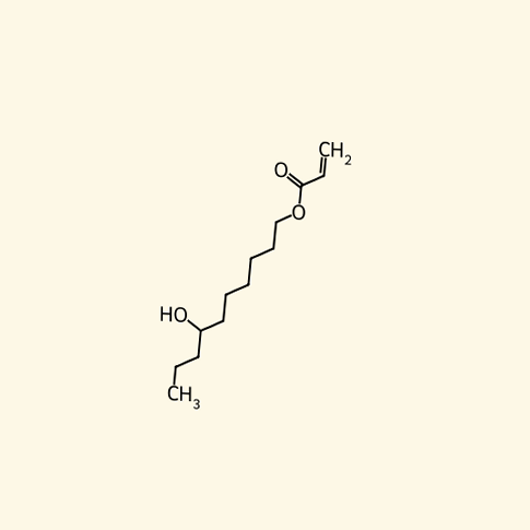 C=CC(=O)OCCCCCCC(O)CCC